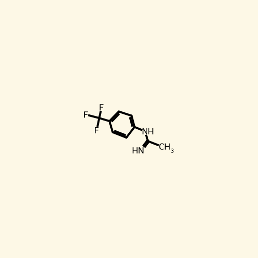 CC(=N)Nc1ccc(C(F)(F)F)cc1